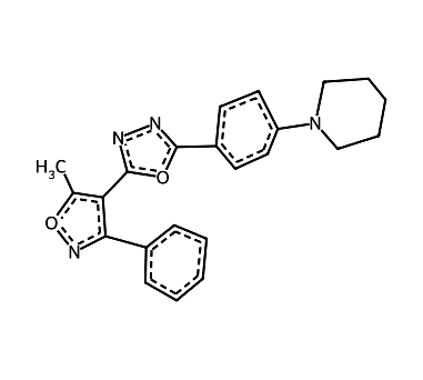 Cc1onc(-c2ccccc2)c1-c1nnc(-c2ccc(N3CCCCC3)cc2)o1